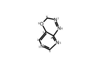 c1ncc2c(n1)N=NCO2